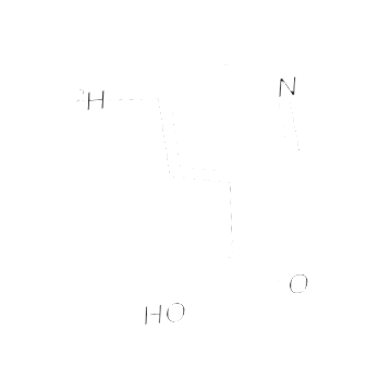 [2H]c1cncc(C(=O)O)c1